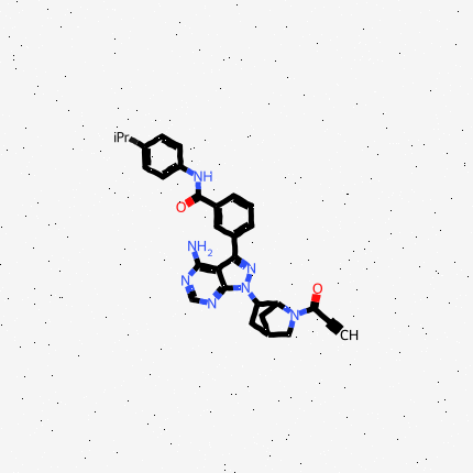 C#CC(=O)N1CC2CC1C(n1nc(-c3cccc(C(=O)Nc4ccc(C(C)C)cc4)c3)c3c(N)ncnc31)C2